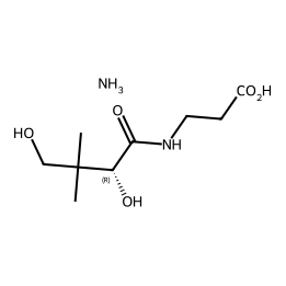 CC(C)(CO)[C@@H](O)C(=O)NCCC(=O)O.N